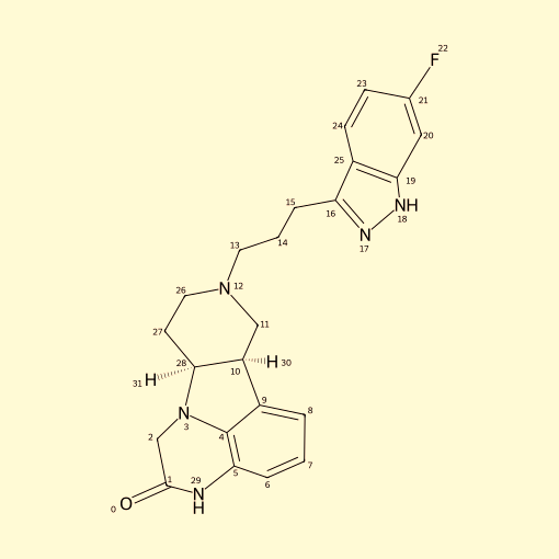 O=C1CN2c3c(cccc3[C@@H]3CN(CCCc4n[nH]c5cc(F)ccc45)CC[C@@H]32)N1